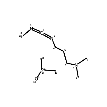 CCN=C=NCCCN(C)C.C[S+](C)[O-]